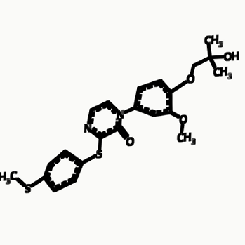 COc1cc(-n2ccnc(Sc3ccc(SC)cc3)c2=O)ccc1OCC(C)(C)O